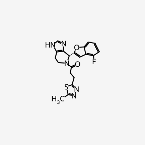 Cc1nnc(CCC(=O)N2CCc3[nH]cnc3[C@@H]2c2cc3c(F)cccc3o2)s1